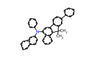 CC1(C)c2cc(-c3ccccc3)ccc2-c2cc(N(c3ccccc3)c3ccc4ccccc4c3)c3ccccc3c21